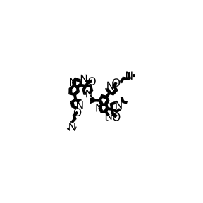 CC(C)N1CCC2(CC1)C(=O)N(C)c1cnc3c(C4CC4N4CCC5(CC4)C(=O)N(C)c4cnc6ccc(-c7ccc(OCCCN(C)C)nc7)cc6c45)cc(-c4ccc(OCCCN(C)C)nc4)cc3c12